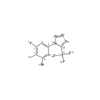 Cc1c(F)cc(-n2nnnc2C(F)(F)F)cc1Br